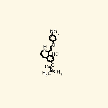 CN(C)C(=O)Oc1ccc2c(c1)C=CCNC2CCOc1ccc([N+](=O)[O-])cc1.Cl